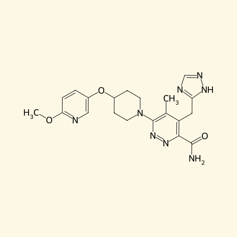 COc1ccc(OC2CCN(c3nnc(C(N)=O)c(Cc4ncn[nH]4)c3C)CC2)cn1